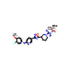 CC(C)(C)OC(=O)NC(=NC(=O)O)N1CCCC(c2nc(-c3ccc(Nc4ccc(OC(F)(F)F)c(F)c4)nc3)no2)C1